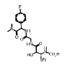 CCC[C@H](NC(=O)O)C(O)C(=O)NCC(=O)NC(C(=O)N(C)C)c1ccc(F)cc1